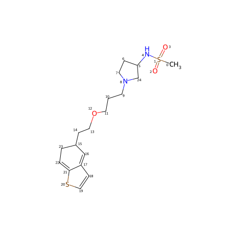 CS(=O)(=O)NC1CCN(CCCOCCC2C=c3ccsc3=CC2)C1